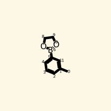 Cc1cccc(B2OCCO2)c1